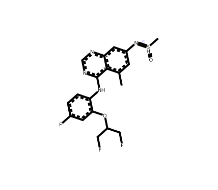 Cc1cc(/N=[SH](/C)=O)cc2ncnc(Nc3ccc(F)cc3OC(CF)CF)c12